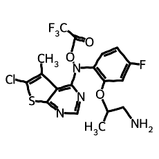 Cc1c(Cl)sc2ncnc(N(OC(=O)C(F)(F)F)c3ccc(F)cc3OC(C)CN)c12